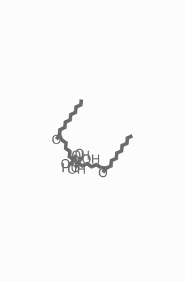 CCCCCCCCCC1OC1CCCCC(O)(C(=O)O)C(O)(CCCCC1OC1CCCCCCCCC)C(=O)O